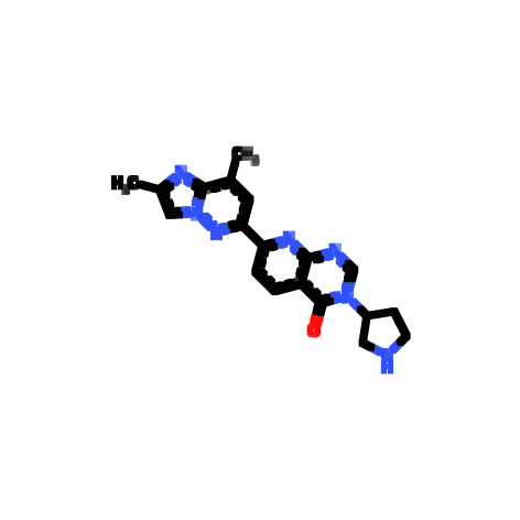 Cc1cn2nc(-c3ccc4c(=O)n(C5CCNC5)cnc4n3)cc(C)c2n1